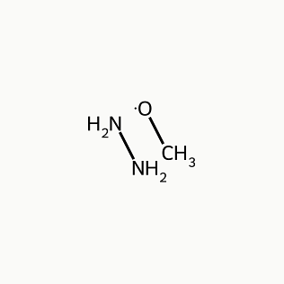 C[O].NN